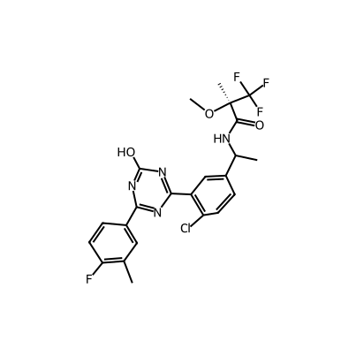 CO[C@](C)(C(=O)NC(C)c1ccc(Cl)c(-c2nc(O)nc(-c3ccc(F)c(C)c3)n2)c1)C(F)(F)F